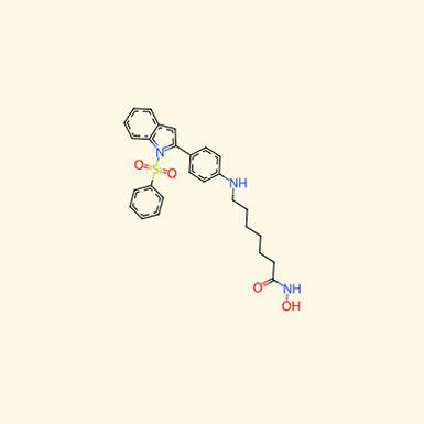 O=C(CCCCCCNc1ccc(-c2cc3ccccc3n2S(=O)(=O)c2ccccc2)cc1)NO